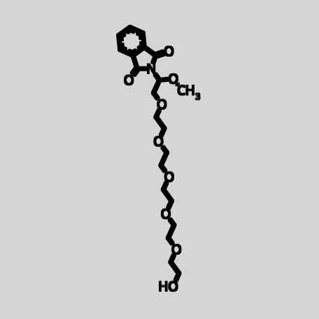 COC(COCCOCCOCCOCCOCCO)N1C(=O)c2ccccc2C1=O